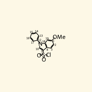 COc1ccc2c(S(=O)(=O)Cl)cn(-c3ccccc3)c2c1